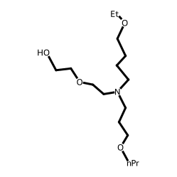 CCCOCCCN(CCCCOCC)CCOCCO